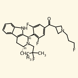 C[C@@H]1Cc2c([nH]c3ccccc23)[C@@H](c2c(F)cc(C(=O)C3CN(CCCF)C3)cc2F)N1CC(C)(C)F